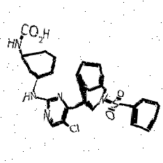 O=C(O)N[C@H]1CCC[C@@H](Nc2ncc(Cl)c(-c3cn(S(=O)(=O)c4ccccc4)c4ccccc34)n2)C1